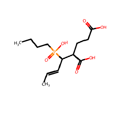 CC=CC(C(CCC(=O)O)C(=O)O)P(=O)(O)CCCC